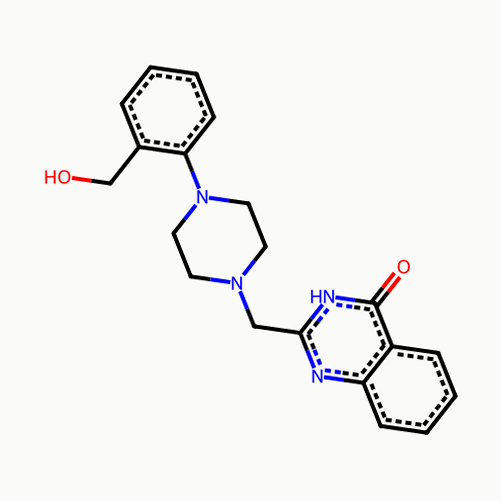 O=c1[nH]c(CN2CCN(c3ccccc3CO)CC2)nc2ccccc12